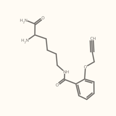 C#CCOc1ccccc1C(=O)NCCCCC(N)C(N)=O